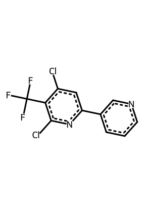 FC(F)(F)c1c(Cl)cc(-c2cccnc2)nc1Cl